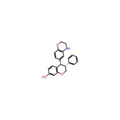 Oc1ccc2c(c1)OC[C@@H](c1ccccc1)[C@@H]2c1ccc2c(c1)NCCO2